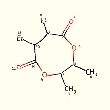 CCC1C(=O)OC(C)C(C)OC(=O)C1CC